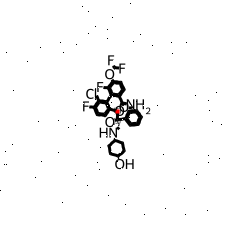 CO[C@H]1c2c(cc(F)c(Cl)c2-c2c(C(N)=O)ccc(OC(F)F)c2F)O[C@]1(CN[C@H]1CC[C@@H](O)CC1)c1ccccc1